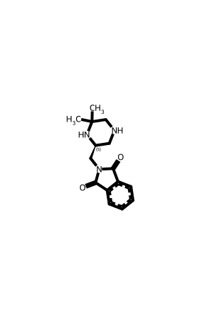 CC1(C)CNC[C@@H](CN2C(=O)c3ccccc3C2=O)N1